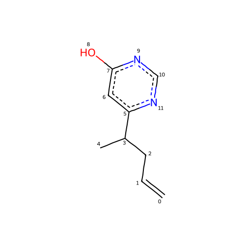 C=CCC(C)c1cc(O)ncn1